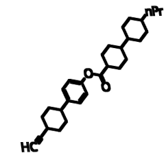 C#CC1CCC(c2ccc(OC(=O)C3CCC(C4CCC(CCC)CC4)CC3)cc2)CC1